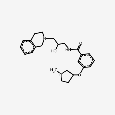 CN1CCC(Oc2cccc(C(=O)NCC(O)CN3CCc4ccccc4C3)c2)C1